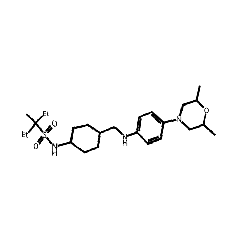 CCC(C)(CC)S(=O)(=O)NC1CCC(CNc2ccc(N3CC(C)OC(C)C3)cc2)CC1